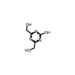 OCc1nc(O)nc(CO)n1